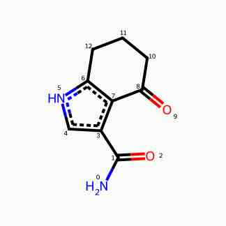 NC(=O)c1c[nH]c2c1C(=O)CCC2